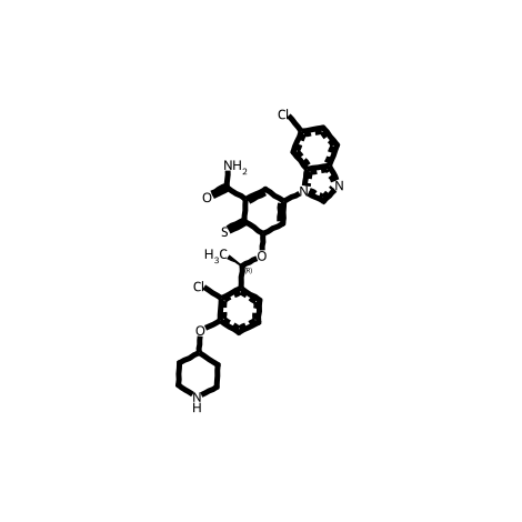 C[C@@H](OC1C=C(n2cnc3ccc(Cl)cc32)C=C(C(N)=O)C1=S)c1cccc(OC2CCNCC2)c1Cl